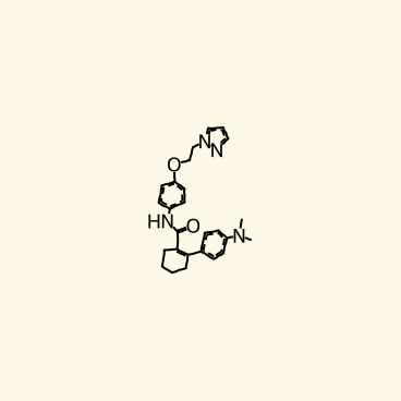 CN(C)c1ccc(C2=C(C(=O)Nc3ccc(OCCn4cccn4)cc3)CCCC2)cc1